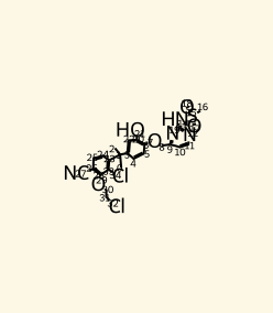 CC(C)(c1ccc(OCc2ccnc(NS(C)(=O)=O)n2)c(O)c1)c1ccc(C#N)c(OCCCl)c1Cl